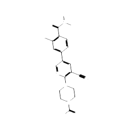 CN(C)C(=O)c1ccc(-c2cnc(N3CCN(C(=O)O)CC3)c(C#N)c2)cc1Cl